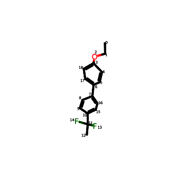 CCOc1ccc(-c2ccc(C(C)(F)F)cc2)cc1